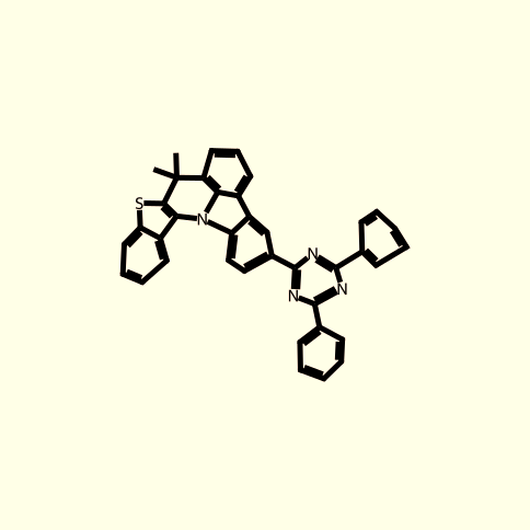 CC1(C)c2sc3ccccc3c2-n2c3ccc(-c4nc(-c5ccccc5)nc(-c5ccccc5)n4)cc3c3cccc1c32